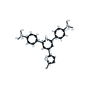 Cc1ccc(-c2cc(-c3ccc(N(C)C)cc3)nc(-c3ccc(N(C)C)cc3)c2)o1